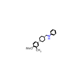 COc1ccc([C@H]2CC[C@H](CNc3ccccc3)CC2)cc1C